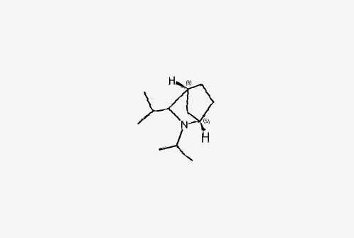 CC(C)C1[C@@H]2CC[C@@H](C2)N1C(C)C